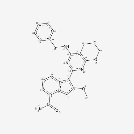 COc1cc2c(C(N)=O)cccc2n1-c1nc(NCc2ccccc2)c2c(n1)OCCC2